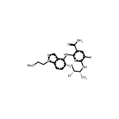 CC[C@H](N)[C@@H](C)Nc1nc(Nc2cccc3c2cnn3CCOC)c(C(N)=O)cc1F